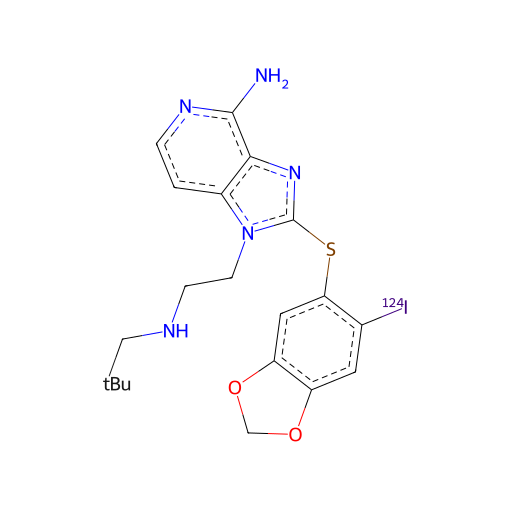 CC(C)(C)CNCCn1c(Sc2cc3c(cc2[124I])OCO3)nc2c(N)nccc21